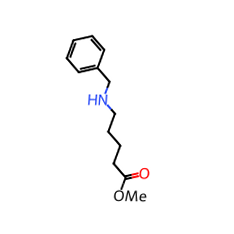 COC(=O)CCCCNCc1ccccc1